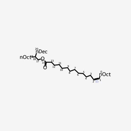 CCCCCCCC/C=C\CCCCCCCCCCCC(=O)OCC(CCCCCCCC)CCCCCCCCCC